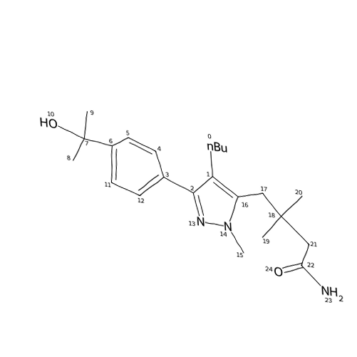 CCCCc1c(-c2ccc(C(C)(C)O)cc2)nn(C)c1CC(C)(C)CC(N)=O